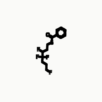 O=C(SCCC(F)C(F)(F)CCCF)c1ccccc1